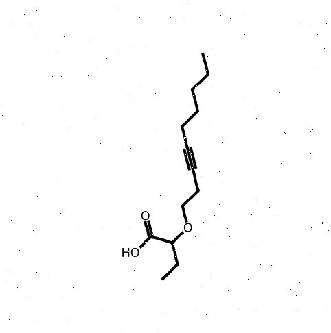 CCCCCC#CCCOC(CC)C(=O)O